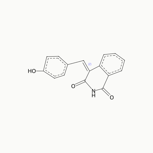 O=C1NC(=O)c2ccccc2/C1=C/c1ccc(O)cc1